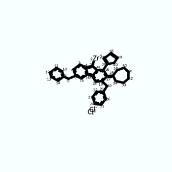 [Cl-].[Cl-].[Zr+2][C]1=c2ccc(Cc3ccccc3)cc2=c2cc(Cc3ccccc3)c(=C3CCCCCC3)c(C3=CC=CC3)c21